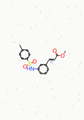 COC(=O)/C=C/c1cccc(NS(=O)(=O)c2ccc(C)cc2)c1